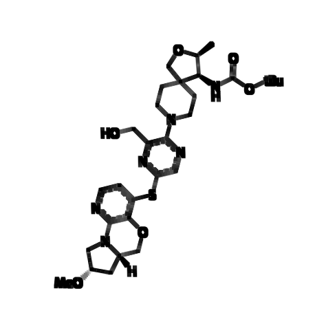 CO[C@H]1C[C@H]2COc3c(Sc4cnc(N5CCC6(CC5)CO[C@@H](C)[C@H]6NC(=O)OC(C)(C)C)c(CO)n4)ccnc3N2C1